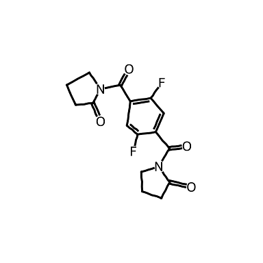 O=C1CCCN1C(=O)c1cc(F)c(C(=O)N2CCCC2=O)cc1F